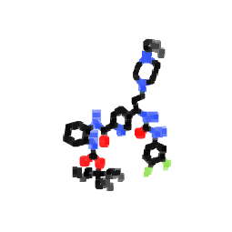 CN1CCN(CCC(NC(=O)Nc2ccc(F)c(F)c2)c2ccc(C(=O)Nc3ccccc3NC(=O)OC(C)(C)C)nc2)CC1